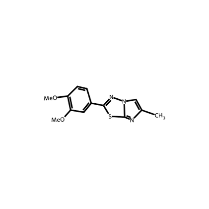 COc1ccc(-c2nn3cc(C)nc3s2)cc1OC